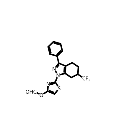 O=COc1csc(-n2nc(-c3ccccc3)c3c2CC(C(F)(F)F)CC3)n1